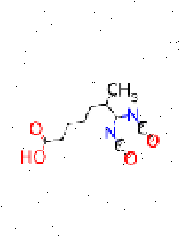 CC(CCCCC(=O)O)C(N=C=O)N=C=O